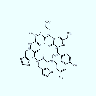 CC(C)[C@H](NC(=O)[C@H](CCC(=O)O)NC(=O)[C@H](Cc1ccc(O)cc1)NC(=O)CN)C(=O)N[C@@H](Cc1c[nH]cn1)C(=O)N[C@@H](Cc1c[nH]cn1)C(=O)N[C@@H](CCC(N)=O)C(=O)O